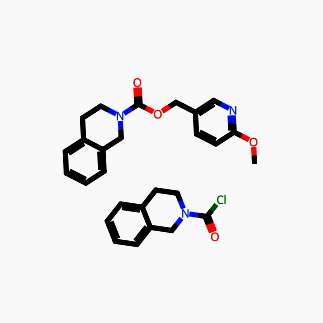 COc1ccc(COC(=O)N2CCc3ccccc3C2)cn1.O=C(Cl)N1CCc2ccccc2C1